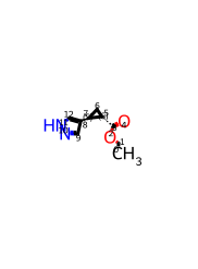 CCOC(=O)[C@H]1C[C@@H]1c1cn[nH]c1